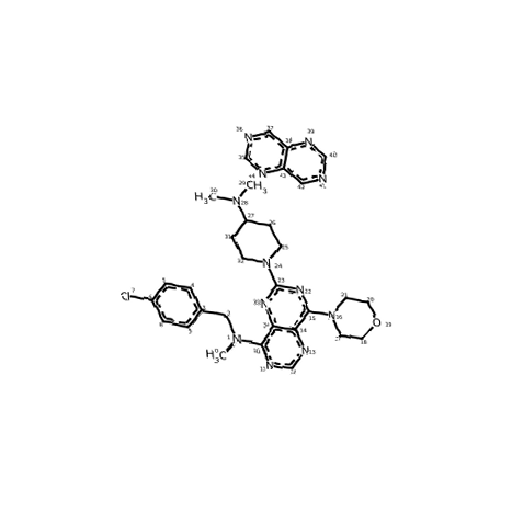 CN(Cc1ccc(Cl)cc1)c1ncnc2c(N3CCOCC3)nc(N3CCC(N(C)C)CC3)nc12.c1ncc2ncncc2n1